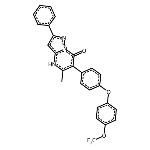 Cc1[nH]c2cc(-c3ccccc3)nn2c(=O)c1-c1ccc(Oc2ccc(OC(F)(F)F)cc2)cc1